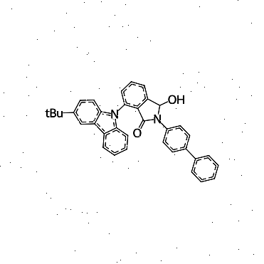 CC(C)(C)c1ccc2c(c1)c1ccccc1n2-c1cccc2c1C(=O)N(c1ccc(-c3ccccc3)cc1)C2O